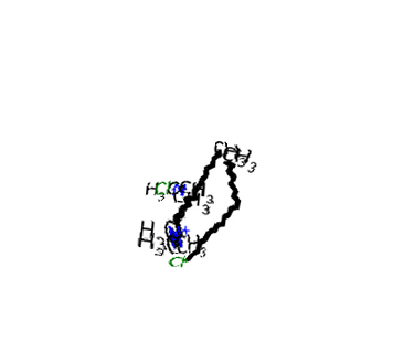 CCCCCCCC/C=C\CCCCCCCCCCCCCl.CCCCCCCCCCCCCCCC[N+](C)(C)C.CN(C)C.[Cl-]